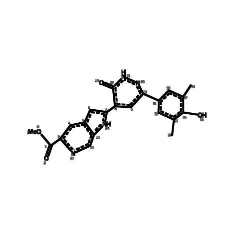 COC(=O)c1cc2cc(-c3cc(-c4cc(C)c(O)c(C)c4)n[nH]c3=O)[nH]c2cn1